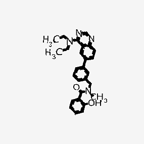 CCN(CC)c1ncnc2ccc(-c3cccc(CN(C)C(=O)c4ccccc4O)c3)cc12